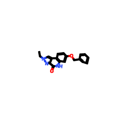 CCn1cc2c(n1)c(=O)[nH]c1cc(OCc3ccccc3)ccc12